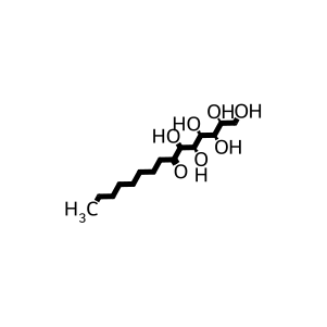 CCCCCCCCC(=O)C(O)[C@H](O)[C@@H](O)[C@H](O)[C@H](O)CO